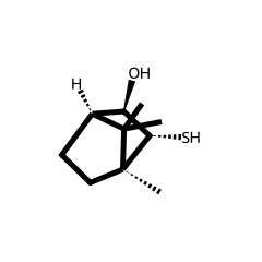 CC1(C)[C@H]2CC[C@]1(C)[C@@H](S)[C@@H]2O